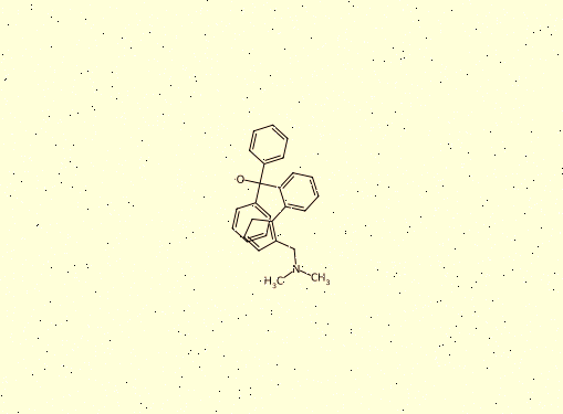 CN(C)CC1=C(c2ccccc2C([O])(c2ccccc2)c2ccccc2)CC=C1